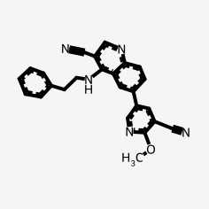 COc1ncc(-c2ccc3ncc(C#N)c(NCCc4ccccc4)c3c2)cc1C#N